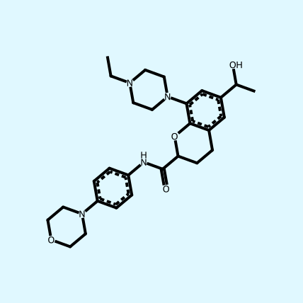 CCN1CCN(c2cc(C(C)O)cc3c2OC(C(=O)Nc2ccc(N4CCOCC4)cc2)CC3)CC1